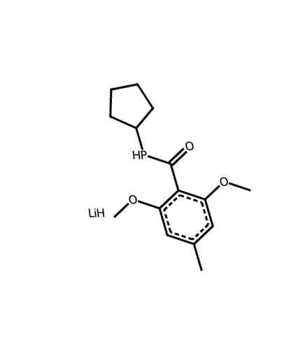 COc1cc(C)cc(OC)c1C(=O)PC1CCCC1.[LiH]